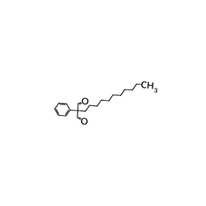 CCCCCCCCCCCC(C=O)(C=O)c1ccccc1